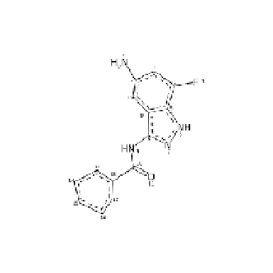 Nc1cc(F)c2[nH]nc(NC(=O)c3ccccc3)c2c1